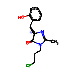 CC1=N/C(=C\c2ccccc2O)C(=O)N1CCCCl